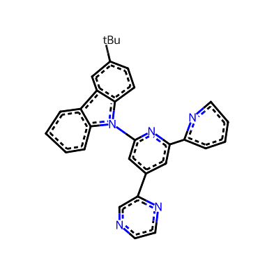 CC(C)(C)c1ccc2c(c1)c1ccccc1n2-c1cc(-c2cnccn2)cc(-c2ccccn2)n1